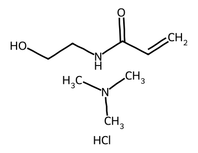 C=CC(=O)NCCO.CN(C)C.Cl